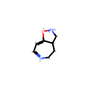 C1=NCCC2CNOC2=C1